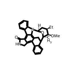 CC[C@@H]1C[C@H]2O[C@](C)(C3Cc4c(c5c(c6c7ccccc7n2c46)C(=O)NC5)-c2ccccc23)[C@@H]1OC